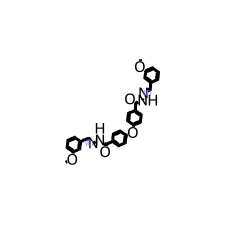 COc1cccc(/C=N/NC(=O)c2ccc(Oc3ccc(C(=O)N/N=C/c4cccc(OC)c4)cc3)cc2)c1